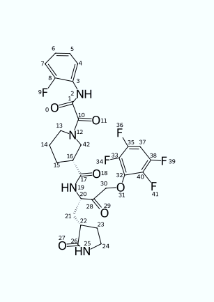 O=C(Nc1ccccc1F)C(=O)N1CCC[C@@H](C(=O)N[C@@H](C[C@@H]2CCNC2=O)C(=O)COc2c(F)c(F)cc(F)c2F)C1